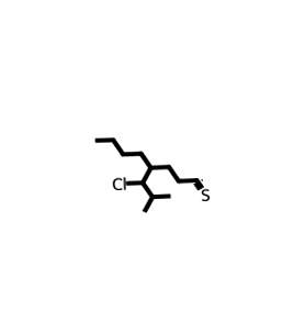 CCCCC(CC[C]=S)C(Cl)C(C)C